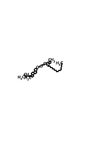 CCCCC/C=C\C/C=C\CCCCCCCCOCC(CC1CCC[C@H]1C)OCCOCCO[C@H]1CCC2C(=CCC3C2CCC2C3CC[C@]2(C)CCCCC(C)C)C1